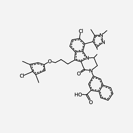 Cc1cc(OCCCc2c3n(c4c(-c5c(C)nn(C)c5C)c(Cl)ccc24)C(C)CN(c2cc(C(=O)O)c4ccccc4c2)C3=O)cc(C)c1Cl